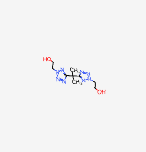 CC(C)(c1nnn(CCO)n1)c1nnn(CCO)n1